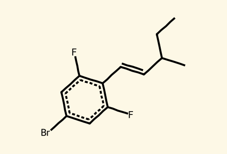 CCC(C)C=Cc1c(F)cc(Br)cc1F